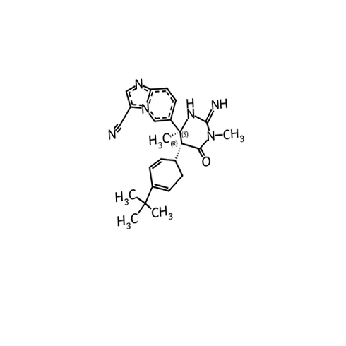 CN1C(=N)N[C@](C)(c2ccc3ncc(C#N)n3c2)[C@@H](C2C=CC(C(C)(C)C)=CC2)C1=O